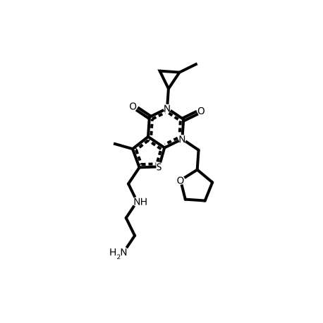 Cc1c(CNCCN)sc2c1c(=O)n(C1CC1C)c(=O)n2CC1CCCO1